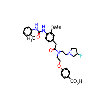 COc1cc(CC(=O)N(CCOc2ccc(C(=O)O)cc2)CCN2CCC(F)C2)ccc1NC(=O)Nc1ccccc1C